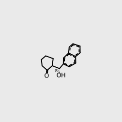 O=C1CCCCC1[C@@H](O)c1ccc2ccccc2c1